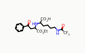 CCOC(=O)C(CC(=O)c1ccccc1)NC(CCCCNC(=O)C(F)(F)F)C(=O)O